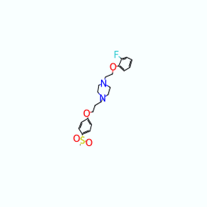 CS(=O)(=O)c1ccc(OCCCN2CCN(CCOc3ccccc3F)CC2)cc1